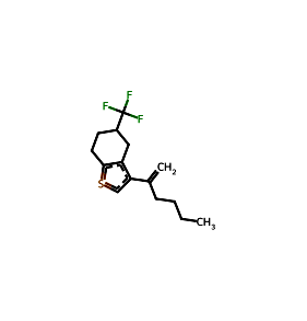 C=C(CCCC)c1csc2c1CC(C(F)(F)F)CC2